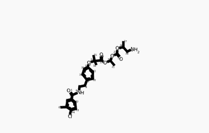 Cc1cc(C(=O)NCCc2ccc(OC(C)(C)C(=O)OC(C)OC(=O)OC(C)CN)cc2)ccc1Cl